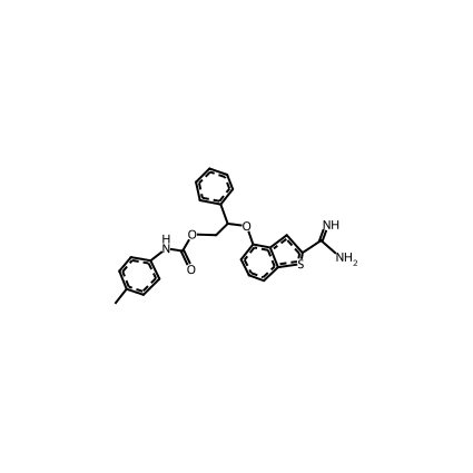 Cc1ccc(NC(=O)OCC(Oc2cccc3sc(C(=N)N)cc23)c2ccccc2)cc1